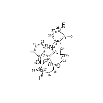 Cc1cc(-n2c3c(c4c(O)cccc42)[C@]2(CC[C@@H]4CC4C2)OCC3(C)C)ccc1F